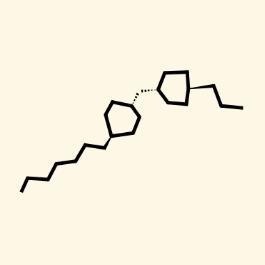 CCCCCCC[C@H]1CC[C@H](C[C@H]2CC[C@H](CCC)CC2)CC1